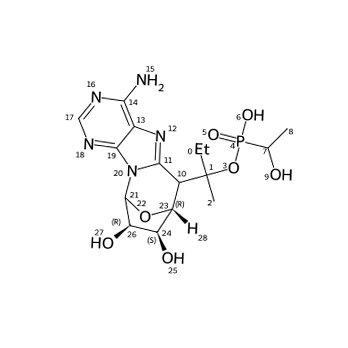 CCC(C)(OP(=O)(O)C(C)O)C1c2nc3c(N)ncnc3n2C2O[C@H]1[C@@H](O)[C@H]2O